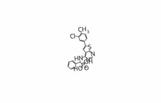 Cc1ccc(-c2cc3c(N[C@H](c4ccccc4)P(=O)(O)O)ncnc3s2)cc1Cl